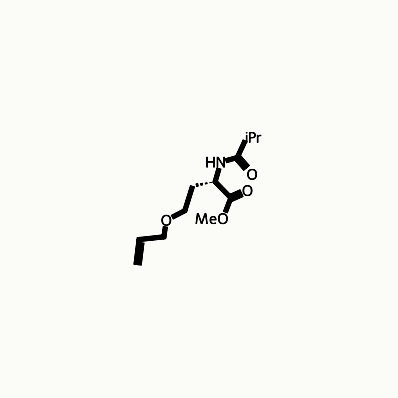 C=CCOCC[C@H](NC(=O)C(C)C)C(=O)OC